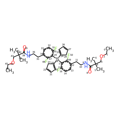 CCOCC(C)(C)C(=O)NCCc1ccc(F)[c]([Ti]([C]2=CC=CC2)([C]2=CC=CC2)[c]2c(F)ccc(CCNC(=O)C(C)(C)COCC)c2F)c1F